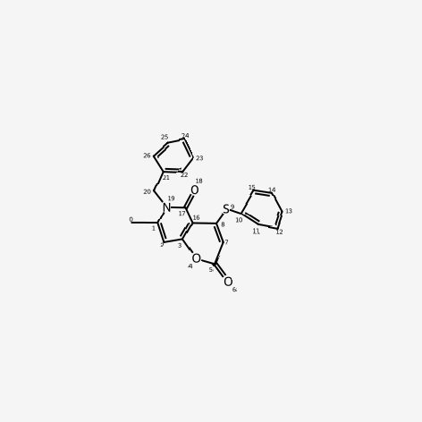 Cc1cc2oc(=O)cc(Sc3ccccc3)c2c(=O)n1Cc1ccccc1